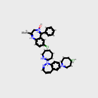 C1=Cc2ccccc2NN=C1.C1CCCNCC1.C1CCCNCC1.CNC1=Nc2ccc(Cl)cc2C(c2ccccc2)=[N+]([O-])C1.Cl